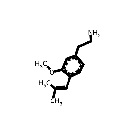 COc1cc(CCN)ccc1C=C(C)C